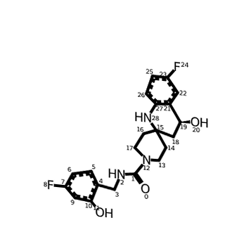 O=C(NCc1ccc(F)cc1O)N1CCC2(CC1)C[C@H](O)c1cc(F)ccc1N2